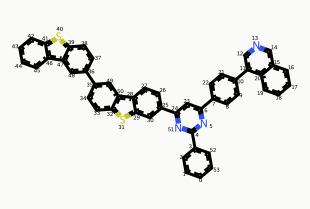 c1ccc(-c2nc(-c3ccc(-c4cncc5ccccc45)cc3)cc(-c3ccc4c(c3)sc3ccc(-c5ccc6sc7ccccc7c6c5)cc34)n2)cc1